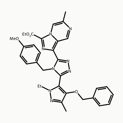 CCOC(=O)c1nc(-c2nnc(-c3c(OCc4ccccc4)c(C)nn3CC)n2Cc2ccc(OC)cc2)c2cnc(C)cn12